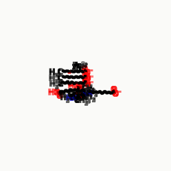 CC1(C)CC(C(CCCCCCCC(=O)O)(C(=O)O)C2CC(C)(C)NC(C)(C)C2)CC(C)(C)N1.CCCCCCCCCCCC(=O)[O-].CCCCCCCCCCCC(=O)[O-].CCCCCCCCCCCC(=O)[O-].CCCCCCCCCCCC(=O)[O-].[Zn+2].[Zn+2]